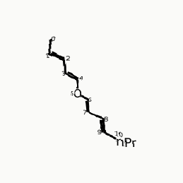 CC=CC=COC=CC=CCCC